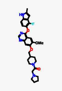 COc1cc2c(Oc3ccc4[nH]c(C)cc4c3F)ncnc2cc1OCC1CCN(C(=O)CN2CCCC2)CC1